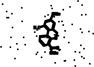 COC(=O)c1cccc2c1OCc1cc(OC)cc(C)c1-2